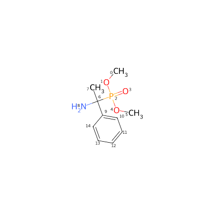 COP(=O)(OC)C(C)(N)c1ccccc1